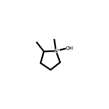 CC1CCC[N+]1(C)O